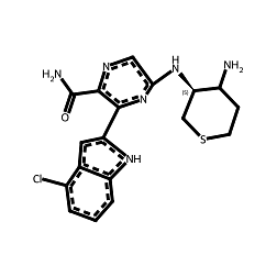 NC(=O)c1ncc(N[C@@H]2CSCCC2N)nc1-c1cc2c(Cl)cccc2[nH]1